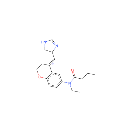 CCCC(=O)N(CC)c1ccc2c(c1)/C(=C/C1CNC=N1)CCO2